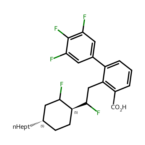 CCCCCCC[C@H]1CC[C@H](C(F)Cc2c(C(=O)O)cccc2-c2cc(F)c(F)c(F)c2)C(F)C1